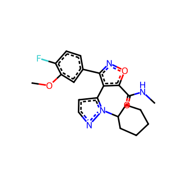 CNC(=O)c1onc(-c2ccc(F)c(OC)c2)c1-c1ccnn1C1CCCCC1